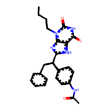 CCCCn1c(=O)[nH]c(=O)c2[nH]c(C(Cc3ccccc3)c3ccc(NC(C)=O)cc3)nc21